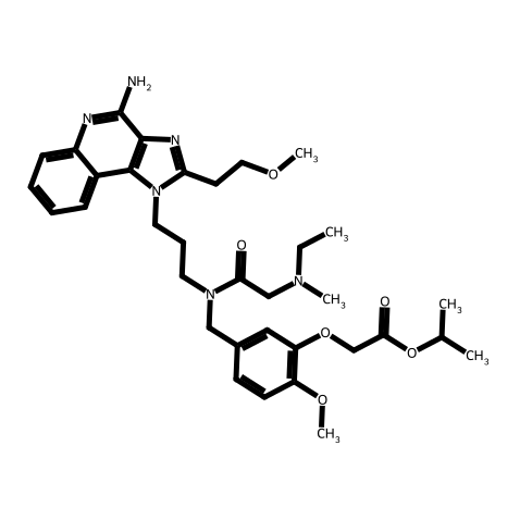 CCN(C)CC(=O)N(CCCn1c(CCOC)nc2c(N)nc3ccccc3c21)Cc1ccc(OC)c(OCC(=O)OC(C)C)c1